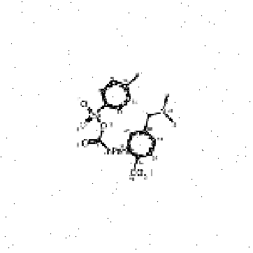 CCCCCC(=O)OS(=O)(=O)c1ccc(C)cc1.CN(C)Cc1ccc(C(=O)O)cc1